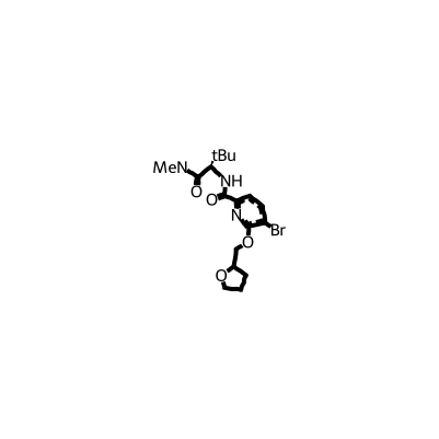 CNC(=O)[C@@H](NC(=O)c1ccc(Br)c(OCC2CCCO2)n1)C(C)(C)C